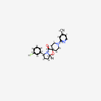 N#Cc1ccnc(N2CCC3(CC2)O[C@@H]2CC[C@@H](c4cccc(F)c4)N2C3=O)c1